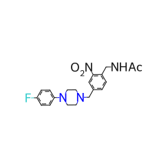 CC(=O)NCc1ccc(CN2CCN(c3ccc(F)cc3)CC2)cc1[N+](=O)[O-]